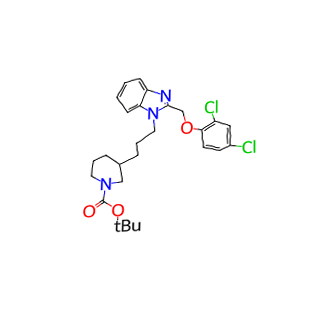 CC(C)(C)OC(=O)N1CCCC(CCCn2c(COc3ccc(Cl)cc3Cl)nc3ccccc32)C1